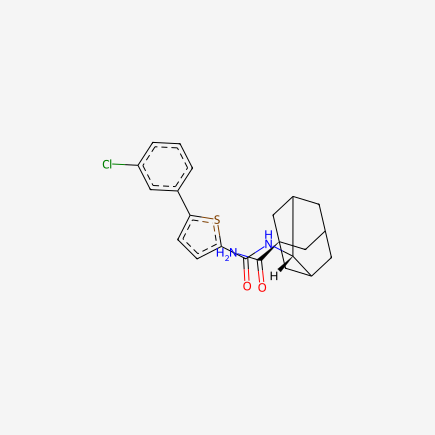 NC(=O)[C@]12CC3CC(C1)[C@@H](NC(=O)c1ccc(-c4cccc(Cl)c4)s1)C(C3)C2